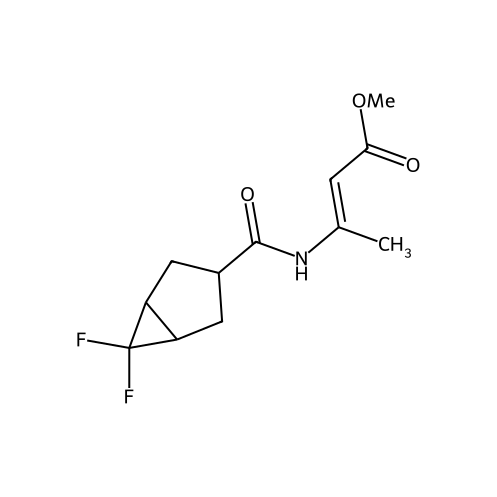 COC(=O)C=C(C)NC(=O)C1CC2C(C1)C2(F)F